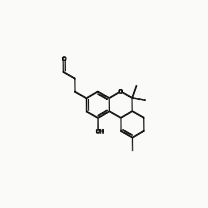 CC1=CC2c3c(O)cc(CCC=O)cc3OC(C)(C)C2CC1